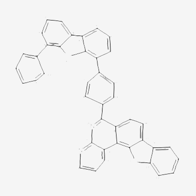 c1ccc(-c2cccc3c2oc2c(-c4ccc(-c5nc6ncccc6c6c5ccc5c7ccccc7oc56)cc4)cccc23)cc1